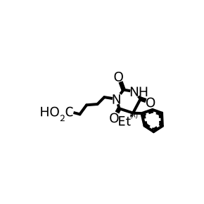 CC[C@@]1(c2ccccc2)C(=O)NC(=O)N(CCCCC(=O)O)C1=O